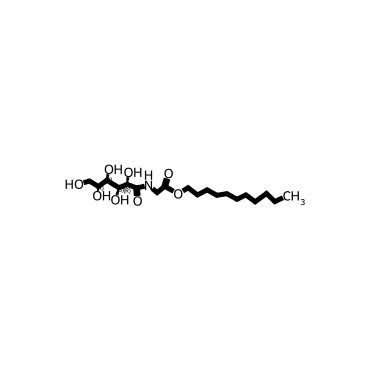 CCCCCCCCCCCOC(=O)CNC(=O)[C@H](O)[C@@H](O)[C@H](O)[C@H](O)CO